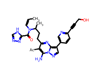 C/C=C\N(C(=O)c1nnc[nH]1)C(C)CCc1nc2c(-c3ccc(C#CCO)nc3)cnn2c(N)c1C(C)=O